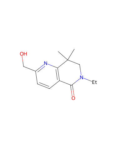 CCN1CC(C)(C)c2nc(CO)ccc2C1=O